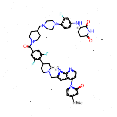 CNc1ccn(-c2ccnc3c2cc(CN2CCC(c4c(F)cc(C(=O)N5CCC(CN6CCN(c7ccc(N[C@H]8CCC(=O)NC8=O)cc7F)CC6)CC5)cc4F)CC2)n3C)c(=O)c1